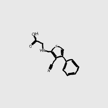 N#Cc1c(-c2ccccc2)csc1NCC(=O)O